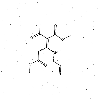 C=CCN/C(CC(=O)OC)=C(/C(C)=O)C(=O)OC